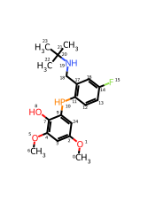 COc1cc(OC)c(O)c(Pc2ccc(F)cc2CNC(C)(C)C)c1